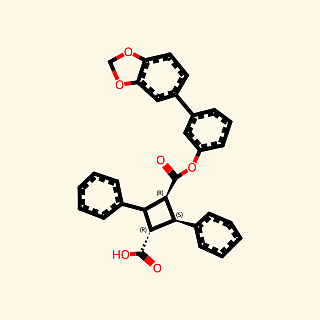 O=C(O)[C@@H]1C(c2ccccc2)[C@@H](C(=O)Oc2cccc(-c3ccc4c(c3)OCO4)c2)[C@H]1c1ccccc1